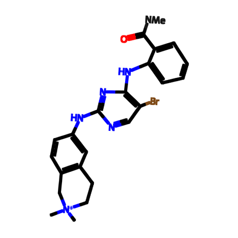 CNC(=O)c1ccccc1Nc1nc(Nc2ccc3c(c2)CC[N+](C)(C)C3)ncc1Br